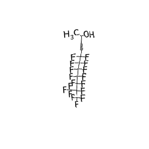 CC(O)C#CC(F)(F)C(F)(F)C(F)(F)C(F)(F)C(F)(F)C(F)(C(F)(F)F)C(F)(F)F